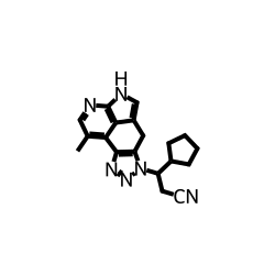 Cc1cnc2[nH]cc3c2c1-c1nnn(C(CC#N)C2CCCC2)c1C3